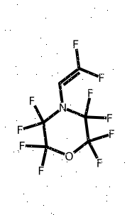 FC(F)=CN1C(F)(F)C(F)(F)OC(F)(F)C1(F)F